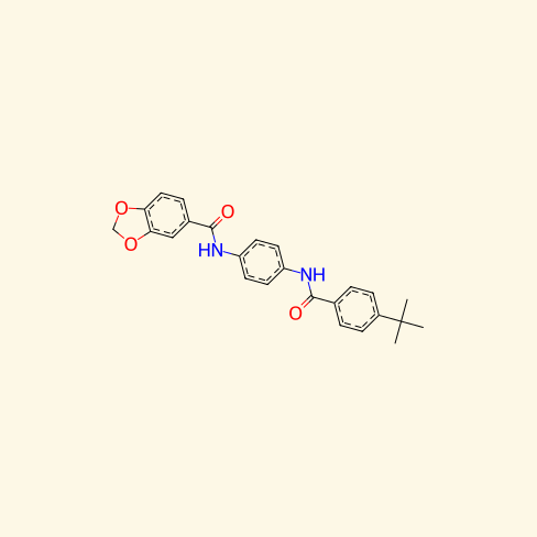 CC(C)(C)c1ccc(C(=O)Nc2ccc(NC(=O)c3ccc4c(c3)OCO4)cc2)cc1